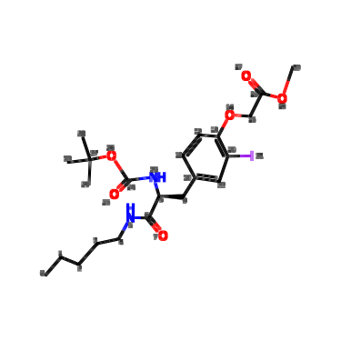 CCCCCNC(=O)[C@H](Cc1ccc(OCC(=O)OC)c(I)c1)NC(=O)OC(C)(C)C